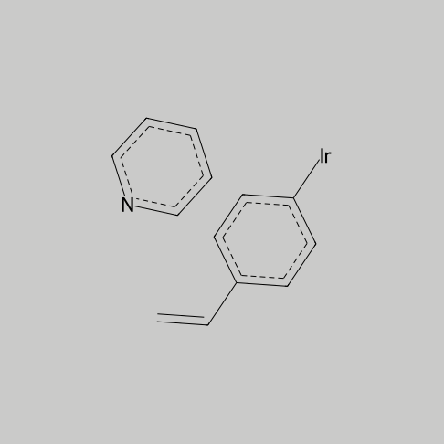 C=Cc1cc[c]([Ir])cc1.c1ccncc1